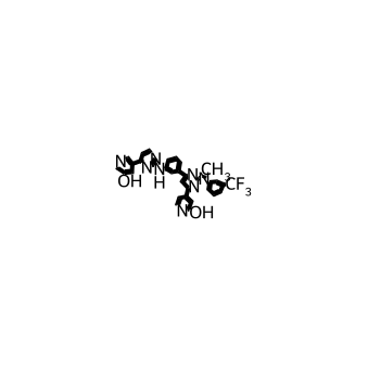 CN(c1cccc(C(F)(F)F)c1)c1nc(-c2cccc(Nc3nccc(-c4cncc(O)c4)n3)c2)cc(-c2ccnc(O)c2)n1